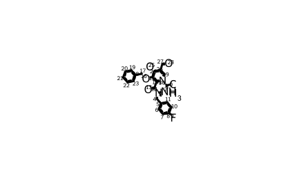 CC1NN(Cc2ccc(F)cc2)C(=O)c2c(OCc3ccccc3)c(=O)c(C=O)cn21